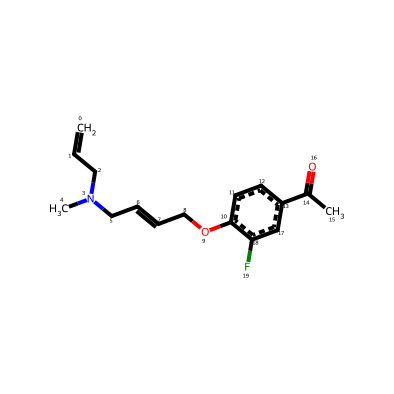 C=CCN(C)CC=CCOc1ccc(C(C)=O)cc1F